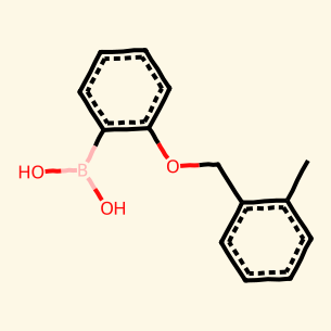 Cc1ccccc1COc1ccccc1B(O)O